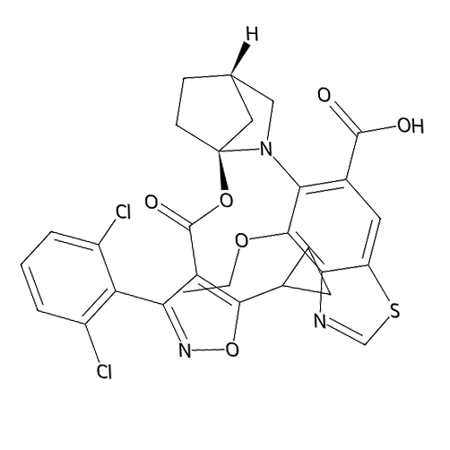 CCOc1c(N2C[C@H]3CC[C@]2(OC(=O)c2c(-c4c(Cl)cccc4Cl)noc2C2CC2)C3)c(C(=O)O)cc2scnc12